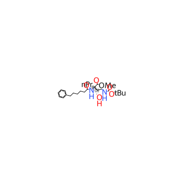 CCC[C@](NC(=O)CCCCCc1ccccc1)(C(=O)OC)[C@@H](CO)CNC(=O)OC(C)(C)C